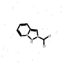 ClC(Cl)N1C=C2C=CC=CN2N1